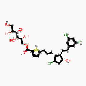 O=C(OC[C@@H](O)[C@H](O)[C@@H](O)[C@@H](O)CO)c1ccc(CCC[C@@H]2[C@@H](CCc3cc(Cl)cc(Cl)c3)[C@H](O)C[C@H]2Cl)s1